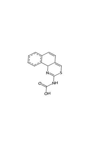 O=C(O)NC1=NC2C(=CS1)C=Cc1ccccc12